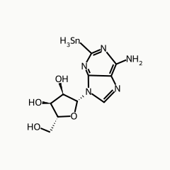 Nc1n[c]([SnH3])nc2c1ncn2[C@@H]1O[C@H](CO)[C@@H](O)[C@H]1O